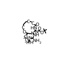 [2H]C([2H])([2H])N=C(N)NN1CC(=O)OCCCCCCCC(=O)NC1=NC(=O)OC(C)(C)C